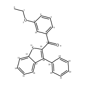 CCOc1cccc(C(=O)c2sc3ccccc3c2-c2ccccc2)c1